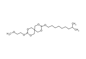 COCCOP1OCC2(COP(OCCCCCCCC(C)C)OC2)CO1